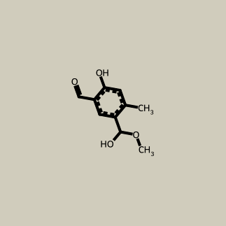 COC(O)c1cc(C=O)c(O)cc1C